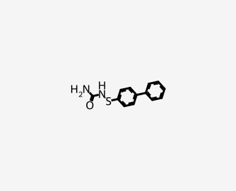 NC(=O)NSc1ccc(-c2ccccc2)cc1